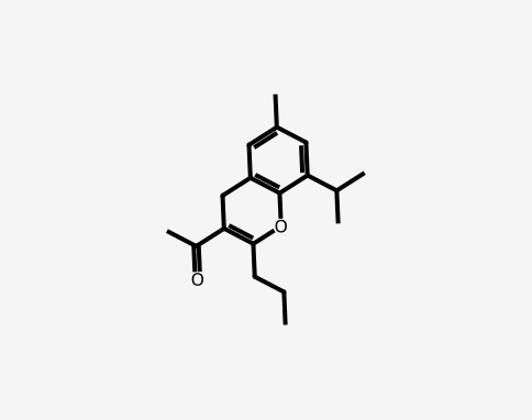 CCCC1=C(C(C)=O)Cc2cc(C)cc(C(C)C)c2O1